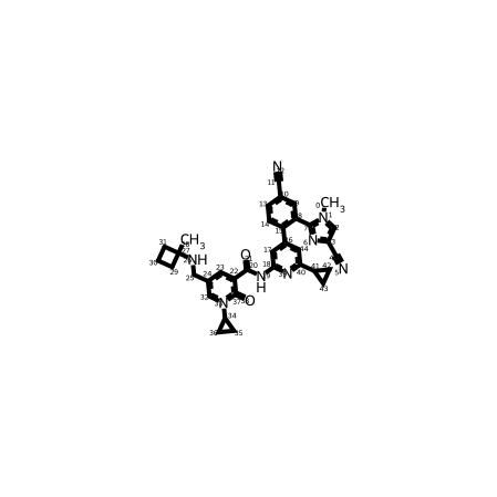 Cn1cc(C#N)nc1-c1cc(C#N)ccc1-c1cc(NC(=O)c2cc(CNC3(C)CCC3)cn(C3CC3)c2=O)nc(C2CC2)c1